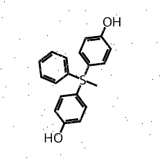 CS(c1ccccc1)(c1ccc(O)cc1)c1ccc(O)cc1